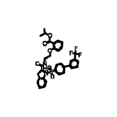 CC(C)OC(=O)c1ccccc1OCCNC(=O)[C@@H]1Cc2ccccc2N1S(=O)(=O)c1ccc(-c2cccc(C(F)(F)F)c2)cc1